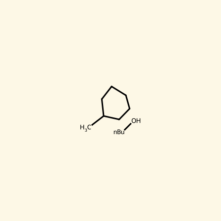 CC1CCCCC1.CCCCO